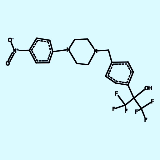 O=[N+]([O-])c1ccc(N2CCN(Cc3ccc(C(O)(C(F)(F)F)C(F)(F)F)cc3)CC2)cc1